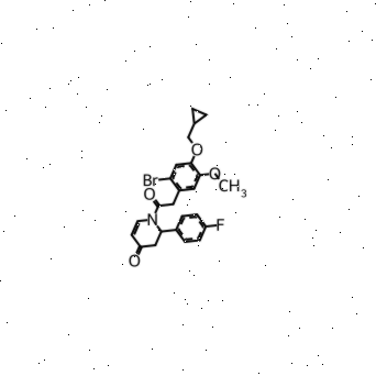 COc1cc(CC(=O)N2C=CC(=O)CC2c2ccc(F)cc2)c(Br)cc1OCC1CC1